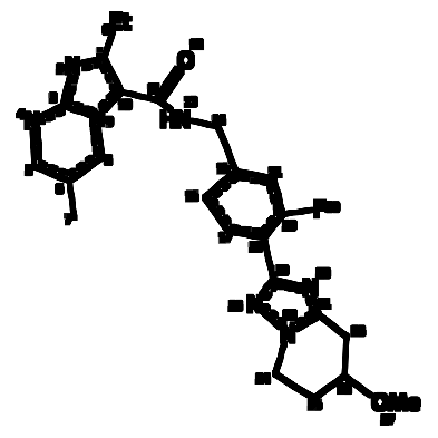 CCc1nc2ncc(C)cn2c1C(=O)NCc1ccc(-c2nc3n(n2)CCC(OC)C3)c(F)c1